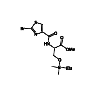 COC(=O)C(CO[Si](C)(C)C(C)(C)C)NC(=O)c1csc(Br)n1